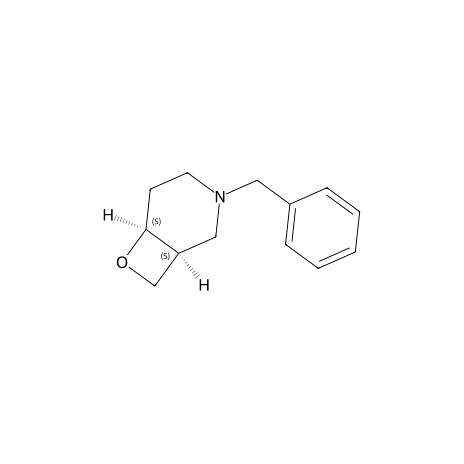 c1ccc(CN2CC[C@@H]3OC[C@@H]3C2)cc1